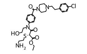 CCOC(=O)[C@H](SCCN)C(=O)N(CCO)c1ccc(C(=O)N2CCN(CCc3ccc(Cl)cc3)CC2)cc1